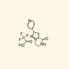 O=C(O)C(F)(F)F.O=C1NCCn2nc(-c3ccncc3)cc21